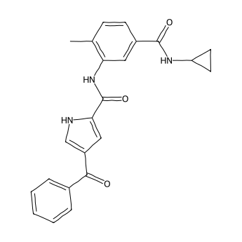 Cc1ccc(C(=O)NC2CC2)cc1NC(=O)c1cc(C(=O)c2ccccc2)c[nH]1